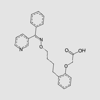 O=C(O)COc1ccccc1CCCCO/N=C(/c1ccccc1)c1cccnc1